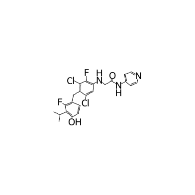 CC(C)c1c(O)ccc(Cc2c(Cl)cc(NCC(=O)Nc3ccncc3)c(F)c2Cl)c1F